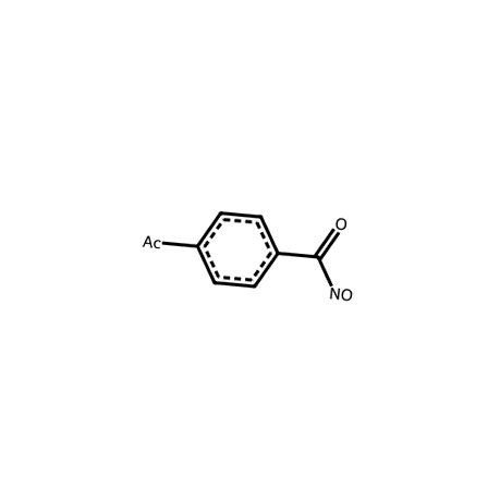 CC(=O)c1ccc(C(=O)N=O)cc1